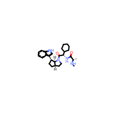 CN[C@@H](C)C(=O)N[C@H](C(=O)N1CC[C@H]2CC[C@@H](c3c[nH]c4ccccc34)[C@H]21)C1CCCCC1